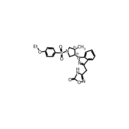 CCOc1ccc(S(=O)(=O)N2C[C@@H](C)[C@@H](n3nc(Cc4noc(=O)[nH]4)c4ccccc43)C2)cc1